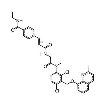 CCNC(=O)c1ccc(/C=C/C(=O)NCC(=O)N(C)c2ccc(Cl)c(COc3cccc4ccc(C)nc34)c2Cl)cc1